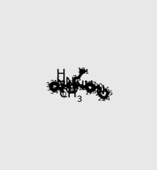 Cc1c(C(=O)NC(CCC2CC2)C(=O)NCc2ccc(CN3CCCCC3)cc2)[nH]c2ccccc12